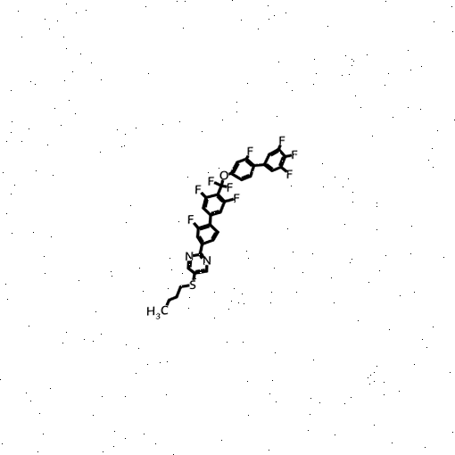 CCCCSc1cnc(-c2ccc(-c3cc(F)c(C(F)(F)Oc4ccc(-c5cc(F)c(F)c(F)c5)c(F)c4)c(F)c3)c(F)c2)nc1